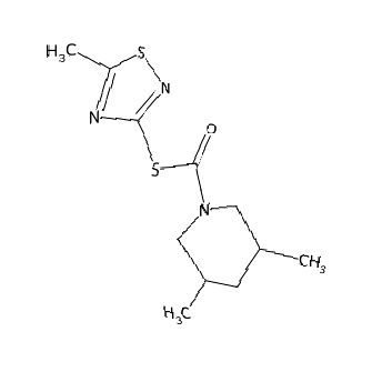 Cc1nc(SC(=O)N2CC(C)CC(C)C2)ns1